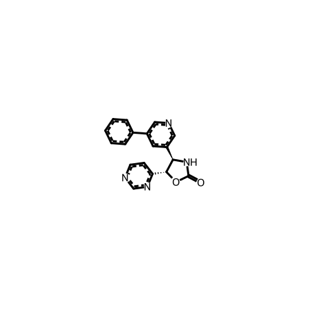 O=C1N[C@H](c2cncc(-c3ccccc3)c2)[C@@H](c2ccncn2)O1